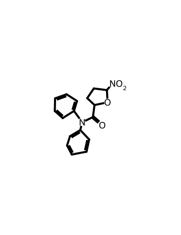 O=C(C1CCC([N+](=O)[O-])O1)N(c1ccccc1)c1ccccc1